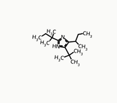 CCC(C)c1nc(C(C)(C)CC)[nH]c1C(C)(C)C